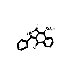 O=C1NC(c2ccccc2)=C2C(=O)c3ccccc3C(S(=O)(=O)O)=C12